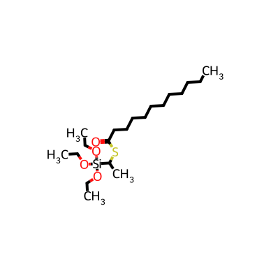 CCCCCCCCCCCC(=O)SC(C)[Si](OCC)(OCC)OCC